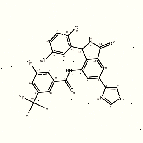 O=C(Nc1cc(-c2cscn2)cc2c1C(c1cc(F)ccc1Cl)NC2=O)c1cc(F)cc(C(F)(F)F)c1